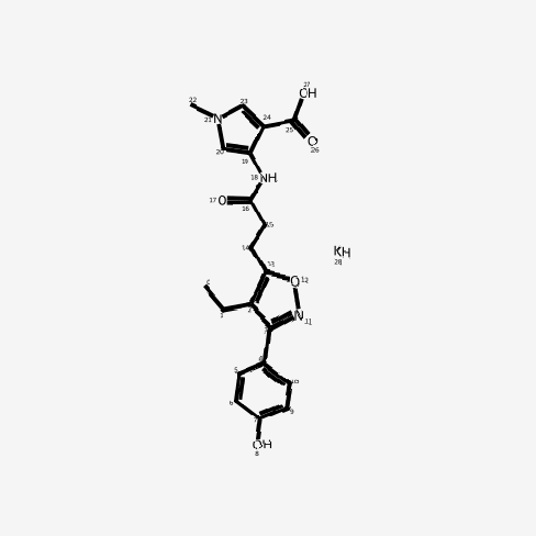 CCc1c(-c2ccc(O)cc2)noc1CCC(=O)Nc1cn(C)cc1C(=O)O.[KH]